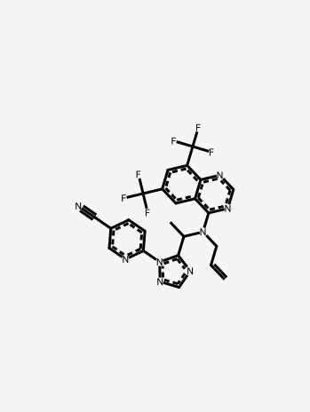 C=CCN(c1ncnc2c(C(F)(F)F)cc(C(F)(F)F)cc12)C(C)c1ncnn1-c1ccc(C#N)cn1